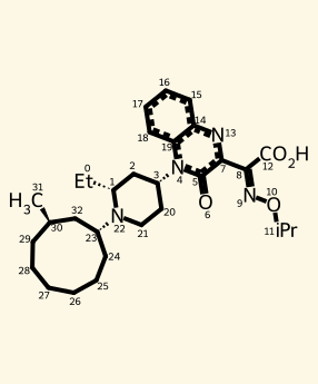 CC[C@@H]1C[C@H](n2c(=O)c(/C(=N/OC(C)C)C(=O)O)nc3ccccc32)CCN1[C@@H]1CCCCCC[C@@H](C)C1